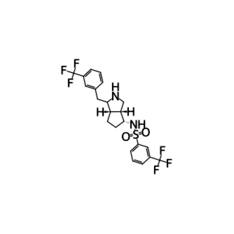 O=S(=O)(N[C@@H]1CC[C@@H]2C(Cc3cccc(C(F)(F)F)c3)NC[C@@H]21)c1cccc(C(F)(F)F)c1